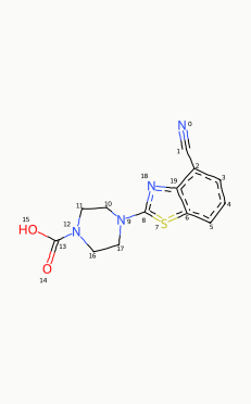 N#Cc1cccc2sc(N3CCN(C(=O)O)CC3)nc12